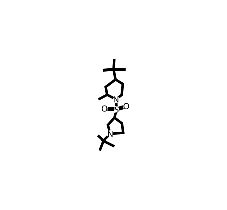 CC1CC(C(C)(C)C)CCN1S(=O)(=O)C1CCN(C(C)(C)C)C1